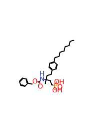 CCCCCCCCc1ccc(CCC(C)(CCP(=O)(O)O)NC(=O)OCc2ccccc2)cc1